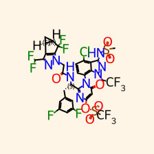 CS(=O)(=O)Nc1nn(CC(F)(F)F)c2c(-n3c([C@H](Cc4cc(F)cc(F)c4)NC(=O)Cn4nc(C(F)F)c5c4C(F)(F)[C@@H]4C[C@H]54)nc(OS(=O)(=O)C(F)(F)F)cc3=O)ccc(Cl)c12